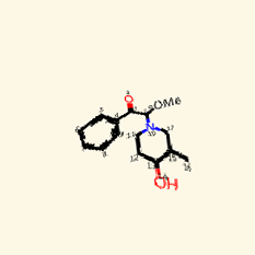 COC(C(=O)c1ccccc1)N1CCC(O)C(C)C1